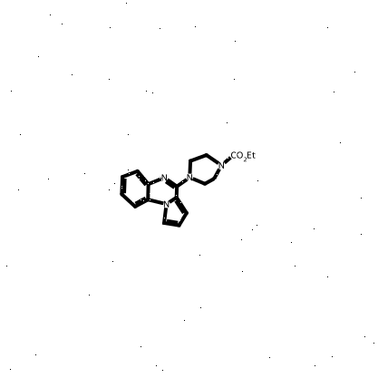 CCOC(=O)N1CCN(c2nc3ccccc3n3cccc23)CC1